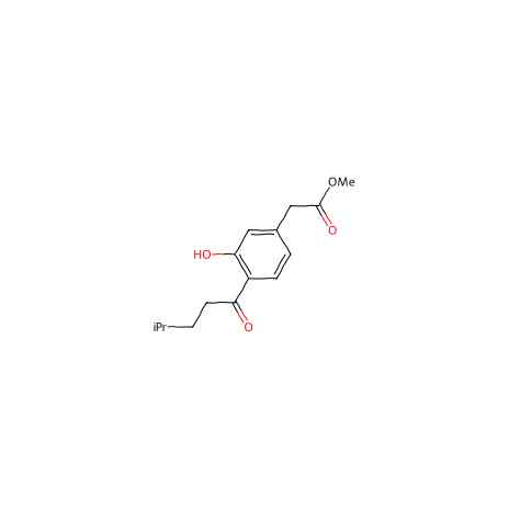 COC(=O)Cc1ccc(C(=O)CCC(C)C)c(O)c1